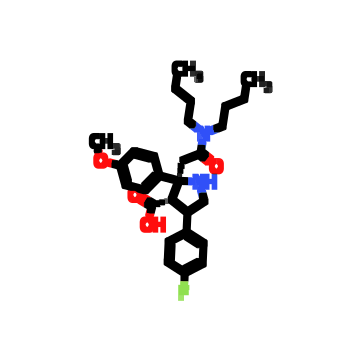 CCCCN(CCCC)C(=O)C[C@]1(c2ccc(OC)cc2)NCC(c2ccc(F)cc2)[C@@H]1C(=O)O